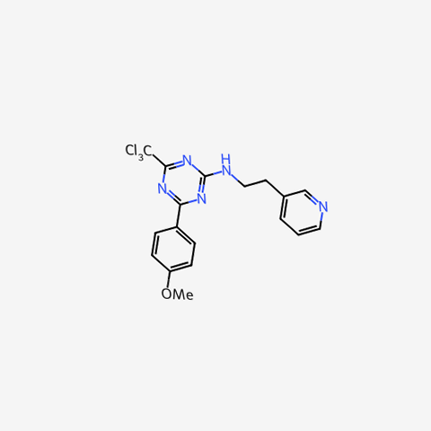 COc1ccc(-c2nc(NCCc3cccnc3)nc(C(Cl)(Cl)Cl)n2)cc1